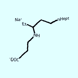 CCCCCCCCCC(CC)NCCC(=O)[O-].[Na+]